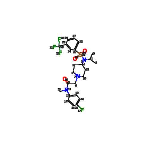 CC(C)N(C1CCN(CC(=O)N(C)c2ccc(F)cc2)CC1)S(=O)(=O)c1cccc(C(F)(F)F)c1